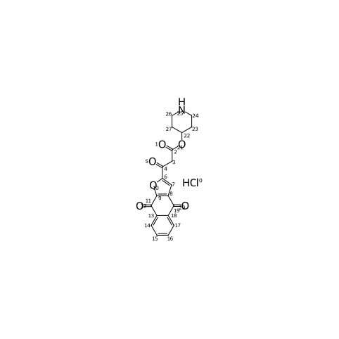 Cl.O=C(CC(=O)c1cc2c(o1)C(=O)c1ccccc1C2=O)OC1CCNCC1